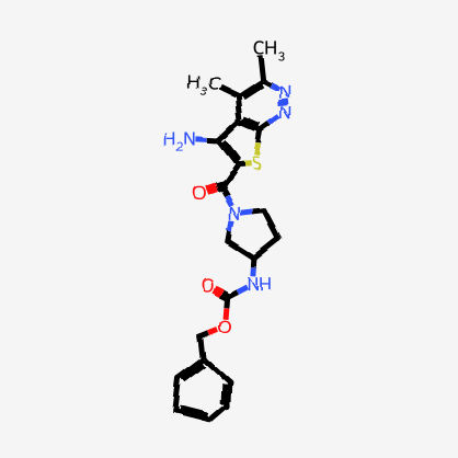 Cc1nnc2sc(C(=O)N3CCC(NC(=O)OCc4ccccc4)C3)c(N)c2c1C